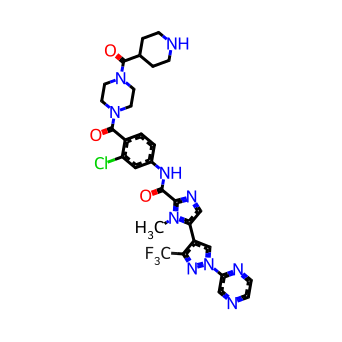 Cn1c(-c2cn(-c3cnccn3)nc2C(F)(F)F)cnc1C(=O)Nc1ccc(C(=O)N2CCN(C(=O)C3CCNCC3)CC2)c(Cl)c1